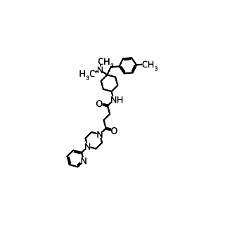 Cc1ccc(CC2(N(C)C)CCC(NC(=O)CCC(=O)N3CCN(c4ccccn4)CC3)CC2)cc1